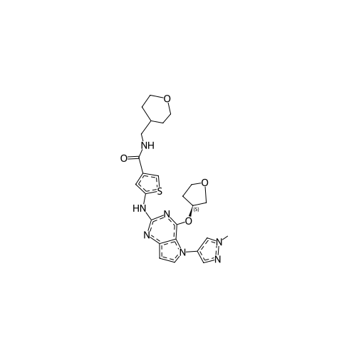 Cn1cc(-n2ccc3nc(Nc4cc(C(=O)NCC5CCOCC5)cs4)nc(O[C@H]4CCOC4)c32)cn1